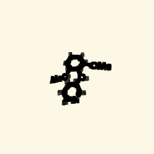 COc1cccc(OC)c1Oc1cc[c]nc1